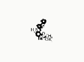 CC(C)n1cnc2c(c1=O)[C@@H](Cc1cccc(-c3ccccc3)c1F)[C@@H](N)CC2